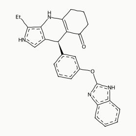 CCc1[nH]cc2c1NC1=C(C(=O)CCC1)[C@H]2c1cccc(Oc2nc3ccccc3[nH]2)c1